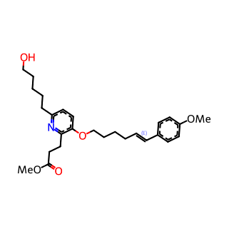 COC(=O)CCc1nc(CCCCCO)ccc1OCCCC/C=C/c1ccc(OC)cc1